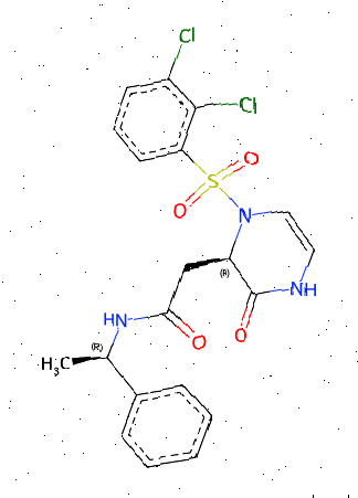 C[C@@H](NC(=O)C[C@@H]1C(=O)NC=CN1S(=O)(=O)c1cccc(Cl)c1Cl)c1ccccc1